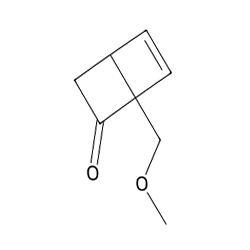 COCC12C=CC1CC2=O